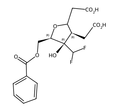 O=C(O)CC1O[C@H](COC(=O)c2ccccc2)[C@@](O)(C(F)F)[C@@H]1CC(=O)O